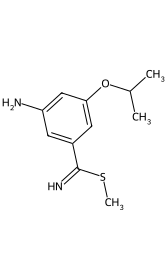 CSC(=N)c1cc(N)cc(OC(C)C)c1